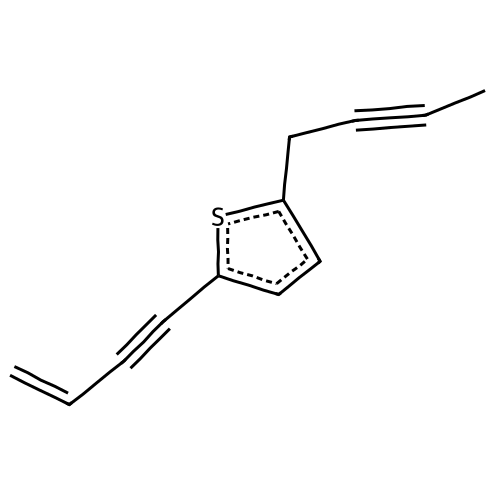 C=CC#Cc1ccc(CC#CC)s1